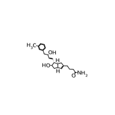 Cc1cccc(C[C@H](O)/C=C/[C@@H]2[C@H]3CC(CCCC(N)=O)=C[C@H]3C[C@H]2O)c1